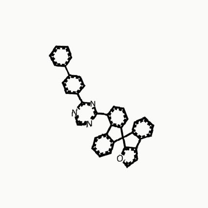 c1ccc(-c2ccc(-c3ncnc(-c4cccc5c4-c4ccccc4C54c5ccccc5-c5ccoc54)n3)cc2)cc1